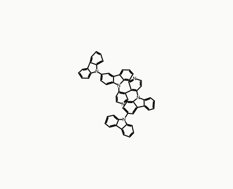 c1ccc2c(c1)c1ccccc1n2-c1ccc2c(c1)c1ccccc1n2-c1ccncc1-c1cnccc1-n1c2ccccc2c2cc(-n3c4ccccc4c4ccccc43)ccc21